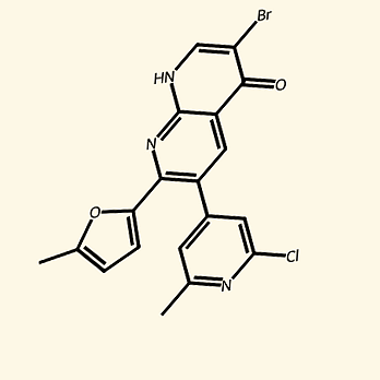 Cc1cc(-c2cc3c(=O)c(Br)c[nH]c3nc2-c2ccc(C)o2)cc(Cl)n1